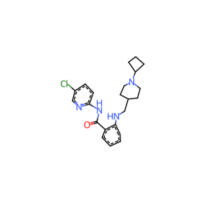 O=C(Nc1ccc(Cl)cn1)c1ccccc1NCC1CCN(C2CCC2)CC1